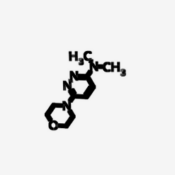 CN(C)c1ccc(N2CCOCC2)nn1